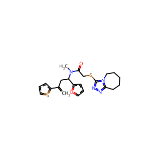 C=C(CC(c1ccco1)N(C)C(=O)CSc1nnc2n1CCCCC2)c1cccs1